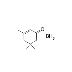 B.CC1=C(C)C(=O)CC(C)(C)C1